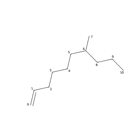 C=CCCCCC(C)CCC